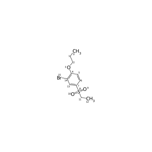 CCCOc1ccc(S(=O)(=O)CC)cc1Br